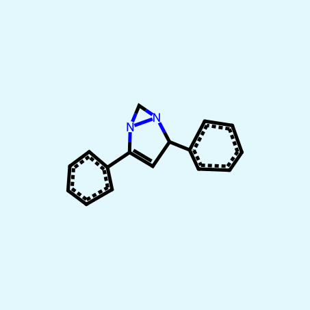 C1=C(c2ccccc2)N2CN2C1c1ccccc1